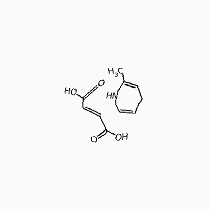 CC1=CCC=CN1.O=C(O)C=CC(=O)O